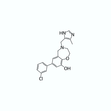 Cc1nc[nH]c1CN1CCOc2c(O)cc(-c3cccc(Cl)c3)cc2C1